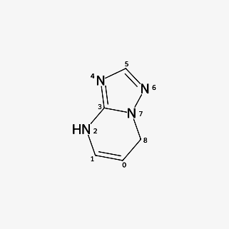 C1=CNc2ncnn2C1